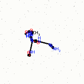 Cc1cc(=O)n(-c2cccc(NC(=O)C3CC3)c2)c2nc(Nc3ccc(N4CCN(CCCCCCCCCCCCNC(=O)CC56CC7CC(CC(C7)C5)C6)C(C5C6CC7CC8(CC(=O)NCCCCCCCCCCCCN9CCN(c%10ccc(N)cc%10)CC9)CC5C6(C7)C8)C4)cc3)ncc12